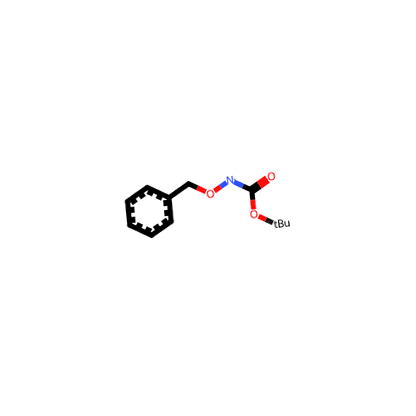 CC(C)(C)OC(=O)[N]OCc1ccccc1